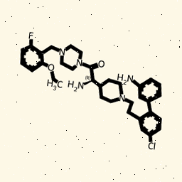 CCOc1cccc(F)c1CN1CCN(C(=O)[C@H](N)C2CCN(CCc3cc(Cl)ccc3-c3cccc(N)c3)CC2)CC1